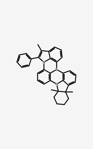 Cc1c(-c2ccccc2)n2c3c(cccc13)B1c3cccc4c3N(c3cccc-2c31)C1(C)CCCCC41C